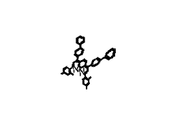 Cc1ccc(-c2cc(-c3ccc(-c4ccccc4)cc3)c3ccc4c(-c5ccc(-c6ccccc6)cc5)cc(-c5ccc(C)cc5C)nc4c3n2)c(C)c1